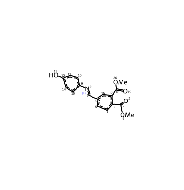 COC(=O)c1ccc(/C=N/c2ccc(O)cc2)cc1C(=O)OC